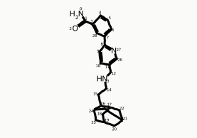 NC(=O)c1cccc(-c2ccc(CNCCC3C4CC5CC(C4)CC3C5)cn2)c1